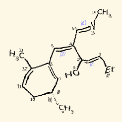 CC/C=C(O)/C(=C\C1=C[C@H](C)CC=C1C)/C=N/C